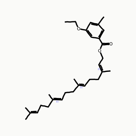 CCOc1cc(C)cc(C(=O)OC/C=C(\C)CC/C=C(\C)CC/C=C(\C)CCC=C(C)C)c1